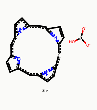 C1=Cc2cc3ccc(cc4nc(cc5ccc(cc1n2)[nH]5)C=C4)[nH]3.[O-]B([O-])O.[Zn+2]